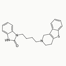 O=c1[nH]c2ccccc2n1CCCCN1CCc2sc3ccccc3c2C1